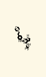 FC(F)(F)CNc1nc(Nc2ccc(CCN3CCOCC3)cc2)nc2[nH]ccc12